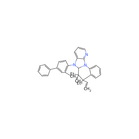 C=CC1(CC)c2ccccc2N2c3ncccc3N(c3ccc(-c4ccccc4)cc3C)C2C1(C)CC